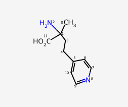 CC(N)(CCc1ccncc1)C(=O)O